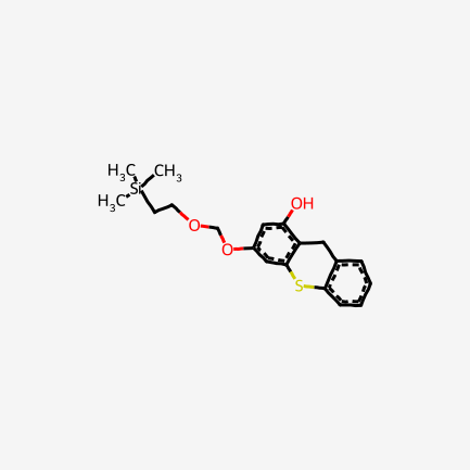 C[Si](C)(C)CCOCOc1cc(O)c2c(c1)Sc1ccccc1C2